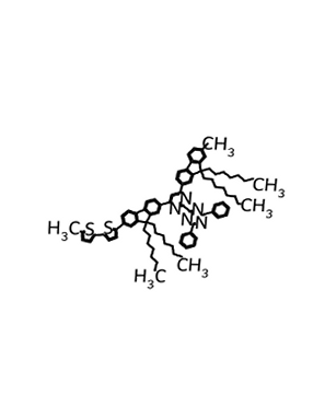 CCCCCCCCC1(CCCCCCCC)c2cc(C)ccc2-c2ccc(-c3cc(-c4ccc5c(c4)C(CCCCCCCC)(CCCCCCCC)c4cc(-c6ccc(-c7ccc(C)s7)s6)ccc4-5)nc(-c4nc(-c5ccccc5)nc(-c5ccccc5)n4)n3)cc21